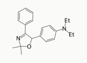 CCN(CC)c1ccc(C2OC(C)(C)N=C2c2ccccc2)cc1